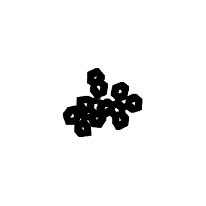 c1ccc(-c2c(-c3ccccc3)c3cc(N(c4ccc5ccccc5c4)c4cccc5c4-c4ccccc4C5(c4ccccc4)c4ccccc4)ccc3c3ccccc23)cc1